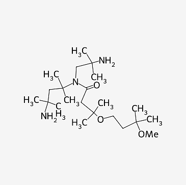 COC(C)(C)CCOC(C)(C)CC(=O)N(CC(C)(C)N)C(C)(C)CC(C)(C)N